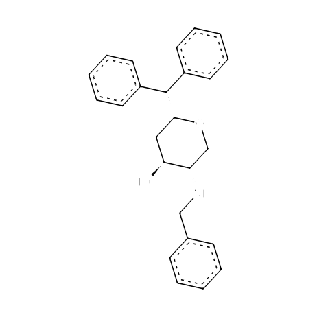 O[C@H]1C[C@H](C(c2ccccc2)c2ccccc2)OC[C@@H]1NCc1ccccc1